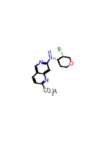 O=C(O)c1ccc2cnc(N[C@H]3CCOC[C@H]3F)cc2n1